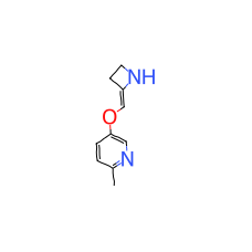 Cc1ccc(O/C=C2\CCN2)cn1